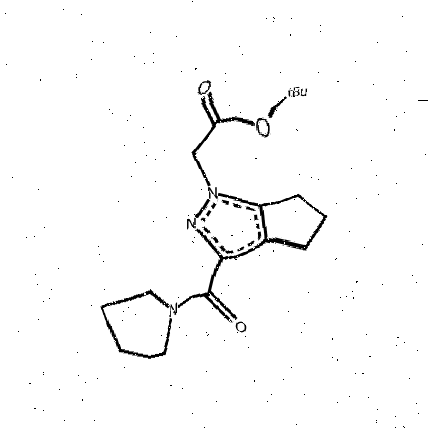 CC(C)(C)OC(=O)Cn1nc(C(=O)N2CCCC2)c2c1CCC2